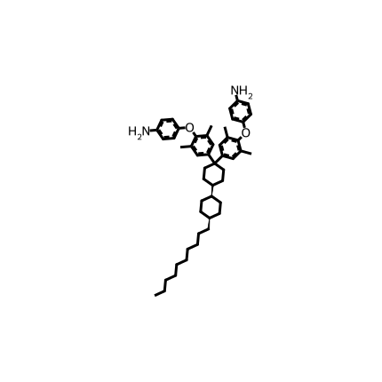 CCCCCCCCCC[C@H]1CC[C@@H](C2CCC(c3cc(C)c(Oc4ccc(N)cc4)c(C)c3)(c3cc(C)c(Oc4ccc(N)cc4)c(C)c3)CC2)CC1